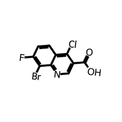 O=C(O)c1cnc2c(Br)c(F)ccc2c1Cl